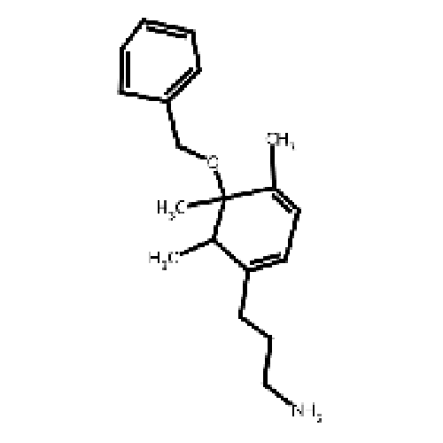 CC1=CC=C(CCCN)C(C)C1(C)OCc1ccccc1